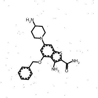 NC(=O)c1sc2cc(N3CCC(N)CC3)cc(OCc3ccccc3)c2c1N